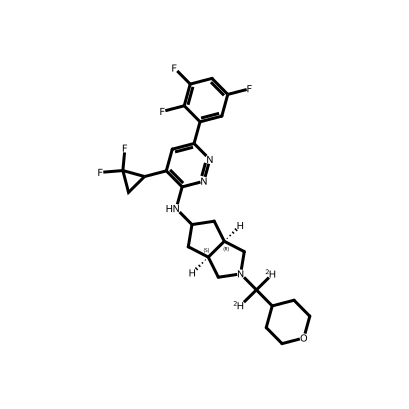 [2H]C([2H])(C1CCOCC1)N1C[C@H]2CC(Nc3nnc(-c4cc(F)cc(F)c4F)cc3C3CC3(F)F)C[C@H]2C1